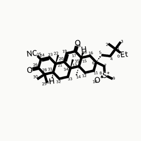 CCC(C)(C)CC[C@]1(C[S+](C)[O-])CC[C@]2(C)[C@@H](C1)C(=O)C=C1[C@@]3(C)C=C(C#N)C(=O)C(C)(C)[C@@H]3CC[C@]12C